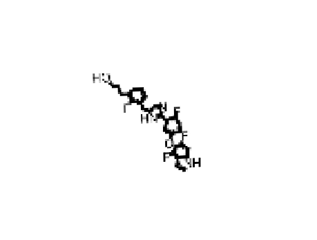 OCCCc1cccc(Cc2cnc(-c3cc(Oc4c(F)cc5[nH]ccc5c4F)ccc3F)[nH]2)c1F